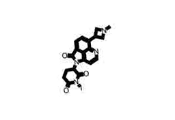 CN1CC(c2ccc3c4c(ccnc24)N(C2CCC(=O)N(I)C2=O)C3=O)C1